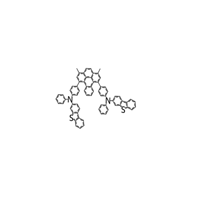 Cc1cc(-c2ccc(N(c3ccccc3)c3ccc4c(c3)sc3ccccc34)cc2)c2c3ccccc3c3c(-c4ccc(N(c5ccccc5)c5ccc6c(c5)sc5ccccc56)cc4)cc(C)c4ccc1c2c43